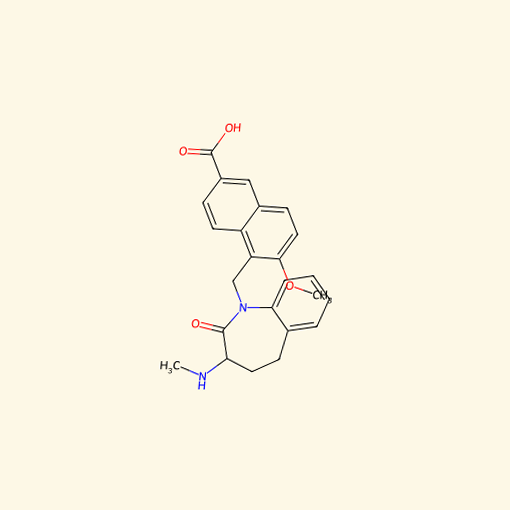 CNC1CCc2ccccc2N(Cc2c(OC)ccc3cc(C(=O)O)ccc23)C1=O